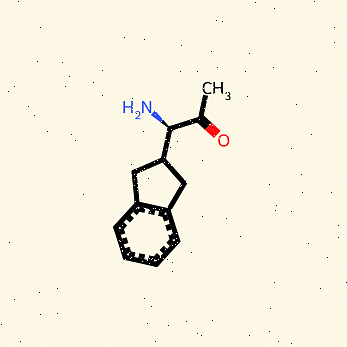 CC(=O)[C@H](N)C1Cc2ccccc2C1